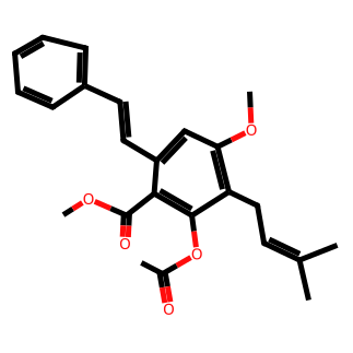 COC(=O)c1c(/C=C/c2ccccc2)cc(OC)c(CC=C(C)C)c1OC(C)=O